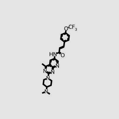 Cc1nc(N2CCC(N(C)C)CC2)nc2ncc(NC(=O)C=Cc3ccc(OC(F)(F)F)cc3)cc12